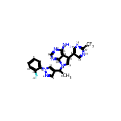 CC(c1cnn(-c2ccccc2F)c1)n1cc(-c2cnc(C(F)(F)F)nc2)c2c(N)ncnc21